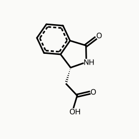 O=C(O)C[C@H]1NC(=O)c2ccccc21